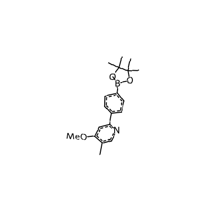 COc1cc(-c2ccc(B3OC(C)(C)C(C)(C)O3)cc2)ncc1C